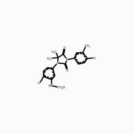 [C-]#[N+]c1ccc(N2C(=O)N(c3ccc(Cl)c(NC(=O)OCC)c3)C(C)(C)C2=O)cc1C